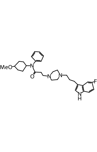 COC1CCC(N(C(=O)CCN2CCN(CCCc3c[nH]c4ccc(F)cc34)CC2)c2ccccc2)CC1